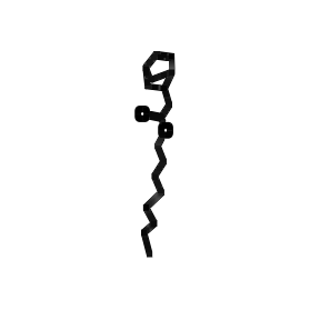 CCCCCCCCOC(=O)CC1CC2C=CC1C2